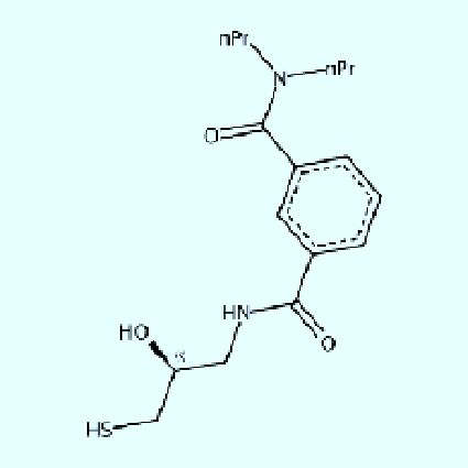 CCCN(CCC)C(=O)c1cccc(C(=O)NC[C@H](O)CS)c1